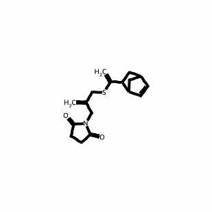 C=C(CSC(=C)C1CC2C=CC1C2)CN1C(=O)CCC1=O